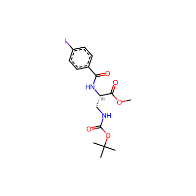 COC(=O)[C@H](CNC(=O)OC(C)(C)C)NC(=O)c1ccc(I)cc1